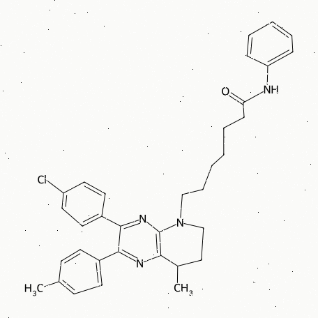 Cc1ccc(-c2nc3c(nc2-c2ccc(Cl)cc2)N(CCCCCCC(=O)Nc2ccccc2)CCC3C)cc1